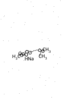 CCCc1cc(CCCCCOc2cccc3c(OOC(C)=O)cccc23)ccc1OC.[NaH]